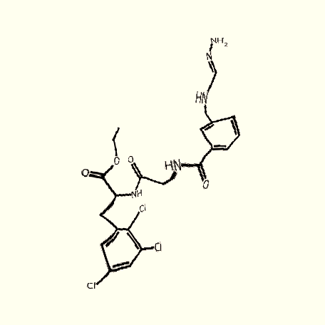 CCOC(=O)C(Cc1cc(Cl)cc(Cl)c1Cl)NC(=O)CNC(=O)c1cccc(NC=NN)c1